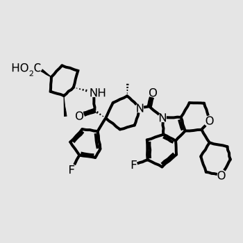 C[C@H]1C[C@@H](C(=O)O)CC[C@@H]1NC(=O)[C@@]1(c2ccc(F)cc2)CCN(C(=O)n2c3c(c4ccc(F)cc42)C(C2CCOCC2)OCC3)[C@@H](C)C1